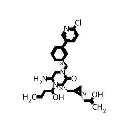 C=CCC(O)N1C(N)CN(C[C@@H]2C=C(c3ccc(Cl)nc3)C=CC2)C(=O)[C@@H]1CC1=C[C@@H]1CC(=C)O